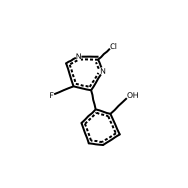 Oc1ccccc1-c1nc(Cl)ncc1F